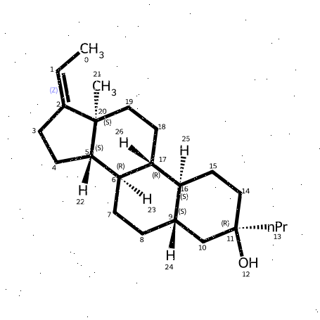 C/C=C1/CC[C@H]2[C@@H]3CC[C@H]4C[C@@](O)(CCC)CC[C@@H]4[C@H]3CC[C@]12C